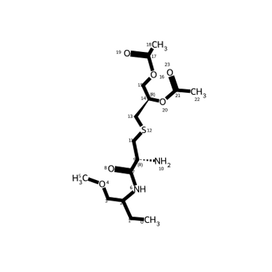 CCC(COC)NC(=O)[C@@H](N)CSC[C@@H](COC(C)=O)OC(C)=O